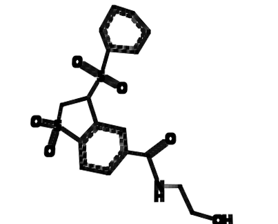 O=C(NCCO)c1ccc2c(c1)C(S(=O)(=O)c1ccccc1)CS2(=O)=O